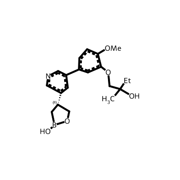 CCC(C)(O)COc1cc(-c2cncc([C@@H]3COB(O)C3)c2)ccc1OC